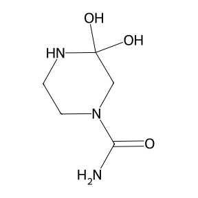 NC(=O)N1CCNC(O)(O)C1